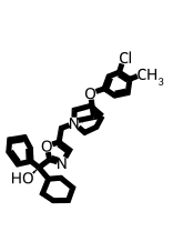 Cc1ccc(OC2C[N+]3(Cc4cnc([C@](O)(c5ccccc5)C5CCCCC5)o4)CCC2CC3)cc1Cl